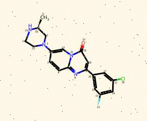 C[C@H]1CN(c2ccc3nc(-c4cc(F)cc(Cl)c4)cc(=O)n3c2)CCN1